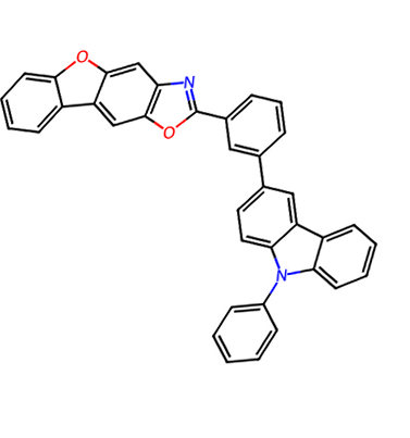 c1ccc(-n2c3ccccc3c3cc(-c4cccc(-c5nc6cc7oc8ccccc8c7cc6o5)c4)ccc32)cc1